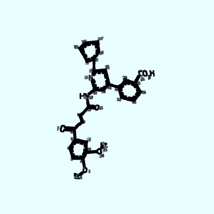 CCOc1ccc(C(=O)CCC(=O)Nc2cc(-c3cccc(C(=O)O)c3)cc(-c3ccccc3)n2)cc1OCC